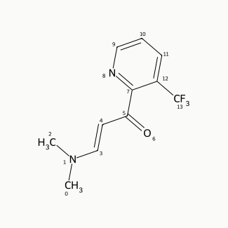 CN(C)/C=C/C(=O)c1ncccc1C(F)(F)F